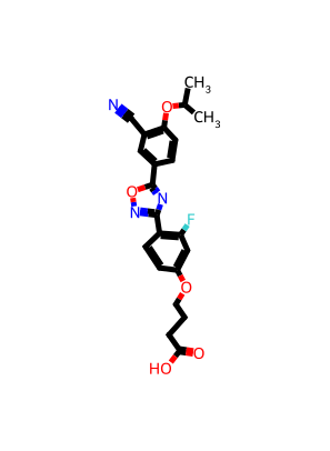 CC(C)Oc1ccc(-c2nc(-c3ccc(OCCCC(=O)O)cc3F)no2)cc1C#N